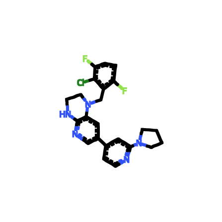 Fc1ccc(F)c(CN2CCNc3ncc(-c4ccnc(N5CCCC5)c4)cc32)c1Cl